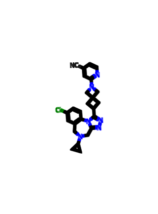 N#Cc1ccnc(N2CC3(CC(c4nnc5n4-c4ccc(Cl)cc4CN(C4CC4)C5)C3)C2)c1